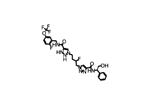 O=C(NCc1cc(OC(F)(F)F)ccc1F)C1=CN(CCC(F)Cn2cc(C(=O)N[C@@H](CO)c3ccccc3)nn2)NN1